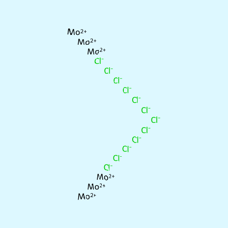 [Cl-].[Cl-].[Cl-].[Cl-].[Cl-].[Cl-].[Cl-].[Cl-].[Cl-].[Cl-].[Cl-].[Cl-].[Mo+2].[Mo+2].[Mo+2].[Mo+2].[Mo+2].[Mo+2]